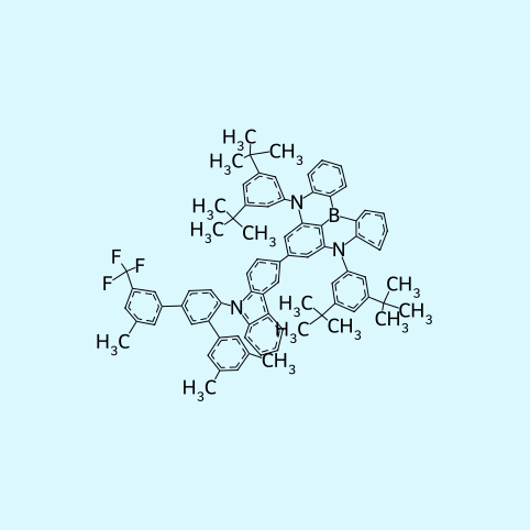 Cc1cc(C)cc(-c2cc(-c3cc(C)cc(C(F)(F)F)c3)ccc2-n2c3ccccc3c3cc(-c4cc5c6c(c4)N(c4cc(C(C)(C)C)cc(C(C)(C)C)c4)c4ccccc4B6c4ccccc4N5c4cc(C(C)(C)C)cc(C(C)(C)C)c4)ccc32)c1